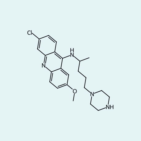 COc1ccc2nc3cc(Cl)ccc3c(NC(C)CCCN3CCNCC3)c2c1